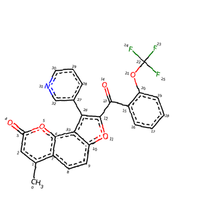 Cc1cc(=O)oc2c1ccc1oc(C(=O)c3ccccc3OC(F)(F)F)c(-c3cccnc3)c12